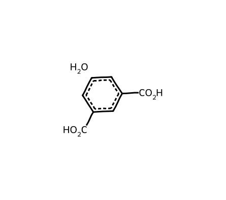 O.O=C(O)c1cccc(C(=O)O)c1